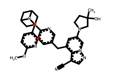 COc1ccc(CN2C3CC2CN(c2ccc(Cc4cc(N5CCC(C)(O)C5)cn5ncc(C#N)c45)cn2)C3)cn1